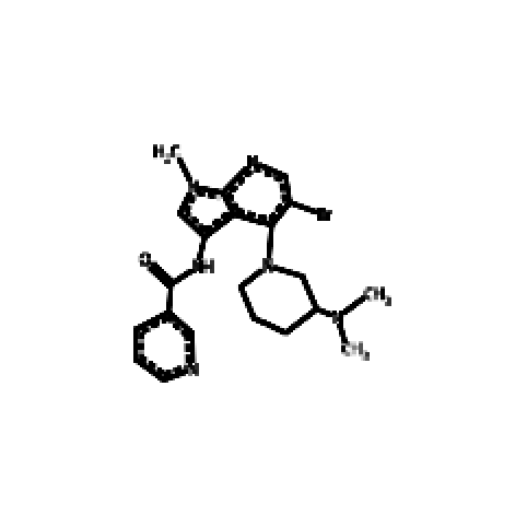 CN(C)C1CCCN(c2c(Br)cnc3c2c(NC(=O)c2cccnc2)cn3C)C1